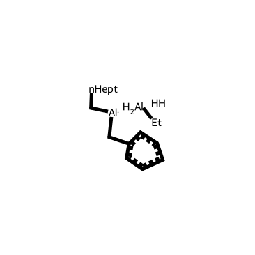 CCCCCCC[CH2][Al][CH2]c1ccccc1.C[CH2][AlH2].[HH]